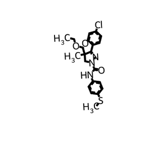 CCOC(=O)C1(C)CN(C(=O)Nc2ccc(SC)cc2)N=C1c1ccc(Cl)cc1